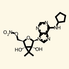 CC1(C)[C@]2(O)[C@H](n3cnc4c(NC5CCCC5)ncnc43)O[C@H](CO[N+](=O)[O-])[C@]12O